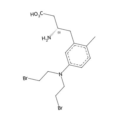 Cc1ccc(N(CCBr)CCBr)cc1C[C@H](N)CC(=O)O